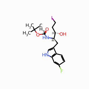 CC(C)(C)OC(=O)N[C@H](Cc1c[nH]c2cc(F)ccc12)[C@@H](O)CCI